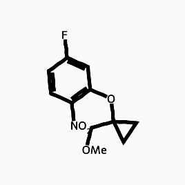 COCC1(Oc2cc(F)ccc2[N+](=O)[O-])CC1